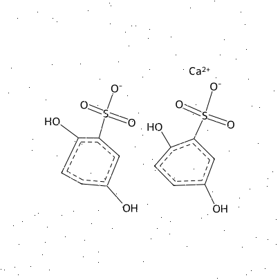 O=S(=O)([O-])c1cc(O)ccc1O.O=S(=O)([O-])c1cc(O)ccc1O.[Ca+2]